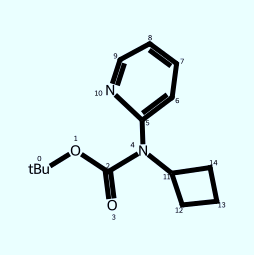 CC(C)(C)OC(=O)N(c1ccccn1)C1CCC1